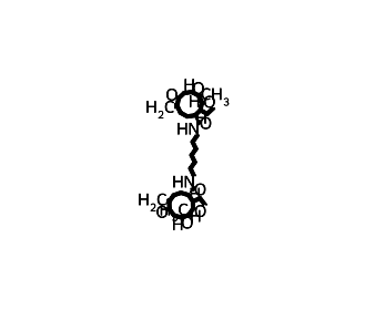 C=C1CC[C@H](C(=O)NCCCCCCCNC(=O)[C@H]2CCC(=C)C(=O)C[C@@H]3O[C@]3(C)[C@H]3OCC[C@@H]23)[C@@H]2CCO[C@@H]2[C@@]2(C)O[C@H]2CC1=O